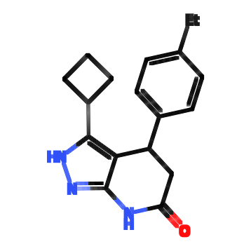 CCc1ccc(C2CC(=O)Nc3n[nH]c(C4CCC4)c32)cc1